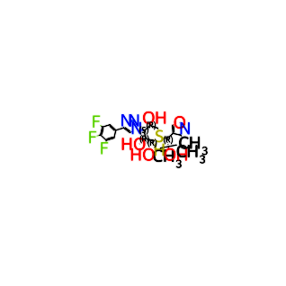 CCC(O)(CC)[C@@H](c1conc1C)[SH]1C[C@H](O)[C@H](n2cc(-c3cc(F)c(F)c(F)c3)nn2)[C@@H](O)[C@H]1CO